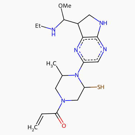 C=CC(=O)N1CC(C)N(c2cnc3c(n2)C(C(NCC)OC)CN3)C(S)C1